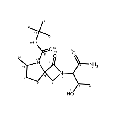 CC(O)C(C(N)=O)N1CC2(CCC(C)N2C(=O)OC(C)(C)C)C1=O